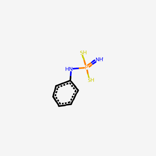 N=P(S)(S)Nc1ccccc1